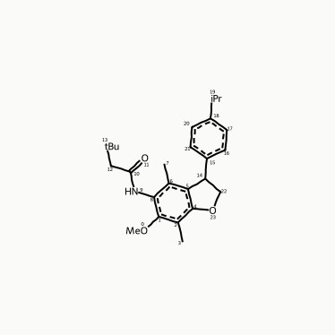 COc1c(C)c2c(c(C)c1NC(=O)CC(C)(C)C)C(c1ccc(C(C)C)cc1)CO2